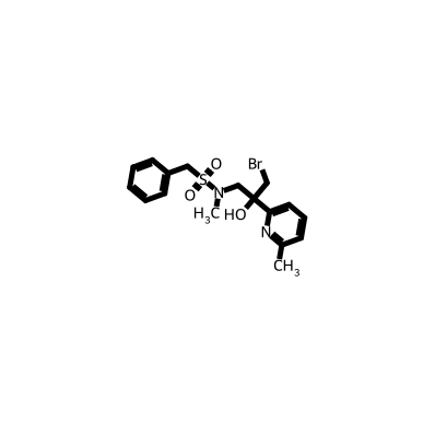 Cc1cccc(C(O)(CBr)CN(C)S(=O)(=O)Cc2ccccc2)n1